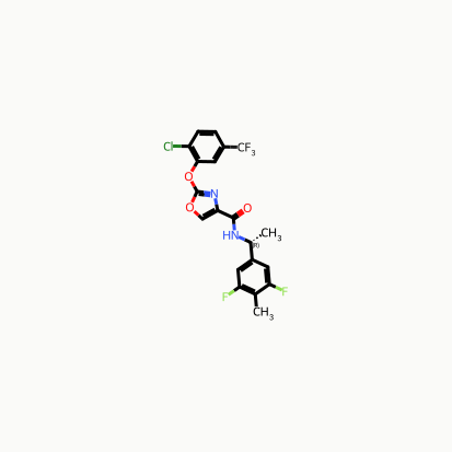 Cc1c(F)cc([C@@H](C)NC(=O)c2coc(Oc3cc(C(F)(F)F)ccc3Cl)n2)cc1F